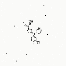 CC(C)(C)OC(=O)N1CC[C@H](N(c2cccnc2)c2ccc(F)c(Cl)c2)C1